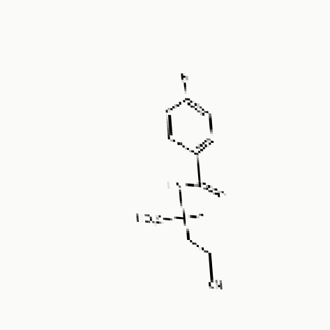 CC(CCC#N)(NC(=O)c1ccc(Br)cc1)C(=O)O